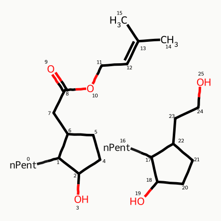 CCCCCC1C(O)CCC1CC(=O)OCC=C(C)C.CCCCCC1C(O)CCC1CCO